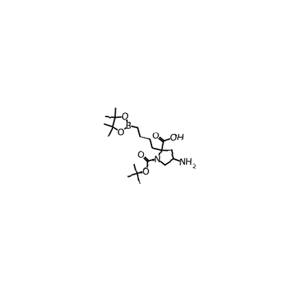 CC(C)(C)OC(=O)N1CC(N)CC1(CCCCB1OC(C)(C)C(C)(C)O1)C(=O)O